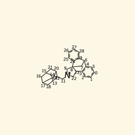 c1ccc2c(c1)C1CC3(CN(CC4C5CC6CC(C5)CC4C6)CC23)c2ccccc21